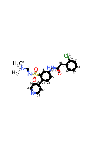 CN(C)C=NS(=O)(=O)c1cc(NC(=O)Cc2ccccc2Cl)ccc1-c1ccncc1